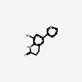 CC(C)c1cc(-c2cccnc2)cc2c1NC(=O)CC2